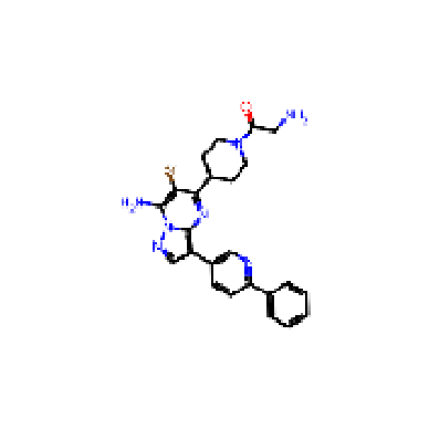 NCC(=O)N1CCC(c2nc3c(-c4ccc(-c5ccccc5)nc4)cnn3c(N)c2Br)CC1